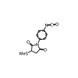 CSC1CC(=O)N(c2ccc(N=C=O)cc2)C1=O